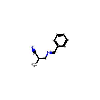 CC(C#N)CN=Cc1ccccc1